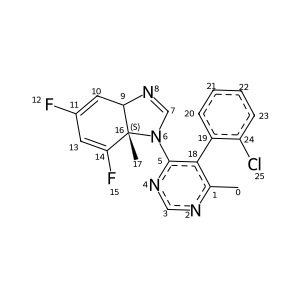 Cc1ncnc(N2C=NC3C=C(F)C=C(F)[C@]32C)c1-c1ccccc1Cl